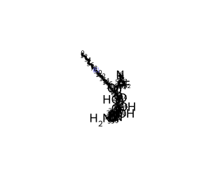 CCCCCCCC/C=C/CCCCCCCCOC[C@H](COP(=O)(O)OC[C@H]1O[C@@](C#N)(c2ccc3c(N)ccnn23)[C@H](O)[C@@H]1O)OCc1cc(F)cc(C#N)c1